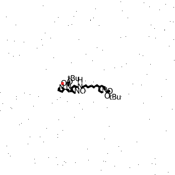 CN1CCC[C@@H]1c1cc2cnc(NC(=O)CCCCCC3CCN(C(=O)OC(C)(C)C)CC3)cc2n1C(=O)OC(C)(C)C